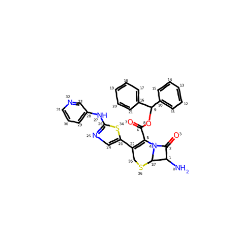 NC1C(=O)N2C(C(=O)OC(c3ccccc3)c3ccccc3)=C(c3cnc(Nc4cccnc4)s3)CSC12